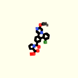 COc1cnc(-c2ccc(C(=O)N3CCCC3C(=O)O)cc2-c2ccccc2Cl)cn1